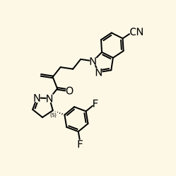 C=C(CCCn1ncc2cc(C#N)ccc21)C(=O)N1N=CC[C@H]1c1cc(F)cc(F)c1